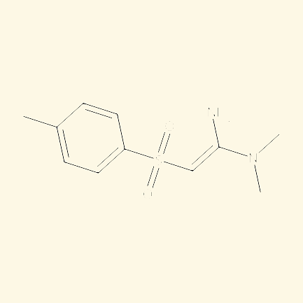 Cc1ccc(S(=O)(=O)/C=C(\N)N(C)C)cc1